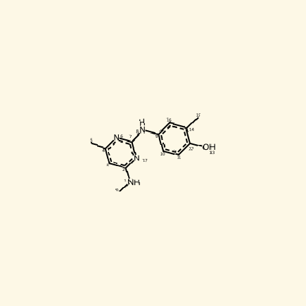 CNc1cc(C)nc(Nc2ccc(O)c(C)c2)n1